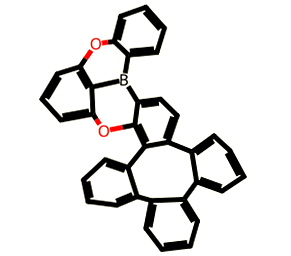 c1ccc2c(c1)Oc1cccc3c1B2c1ccc2c(c1O3)-c1ccccc1-c1ccccc1-c1ccccc1-2